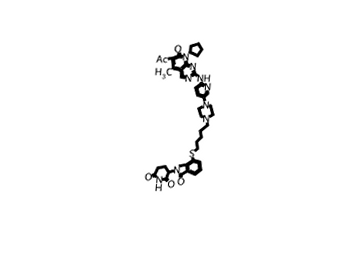 CC(=O)c1c(C)c2cnc(Nc3ccc(N4CCN(CCCCCSc5cccc6c5CN(C5CCC(=O)NC5=O)C6=O)CC4)cn3)nc2n(C2CCCC2)c1=O